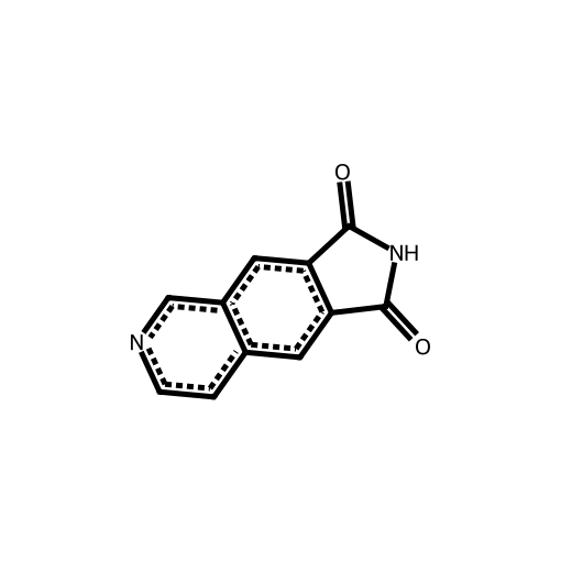 O=C1NC(=O)c2cc3cnccc3cc21